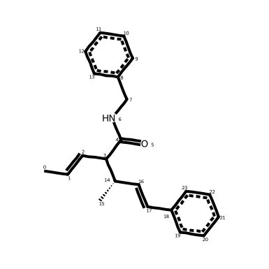 CC=CC(C(=O)NCc1ccccc1)[C@@H](C)/C=C/c1ccccc1